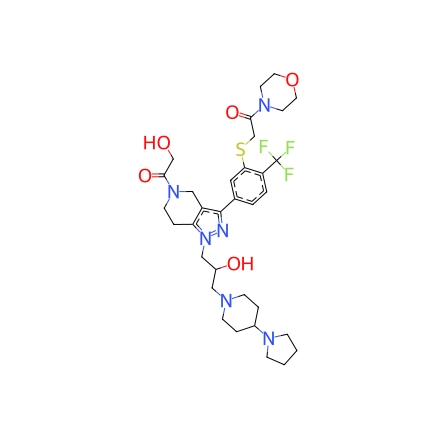 O=C(CSc1cc(-c2nn(CC(O)CN3CCC(N4CCCC4)CC3)c3c2CN(C(=O)CO)CC3)ccc1C(F)(F)F)N1CCOCC1